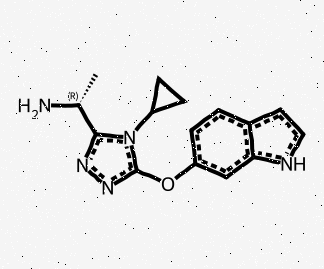 C[C@@H](N)c1nnc(Oc2ccc3cc[nH]c3c2)n1C1CC1